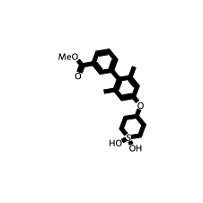 COC(=O)c1cccc(-c2c(C)cc(OC3CCS(O)(O)CC3)cc2C)c1